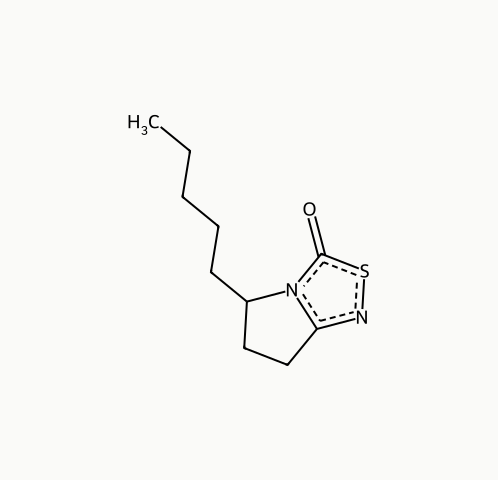 CCCCCC1CCc2nsc(=O)n21